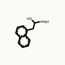 CCCCCCCC(O)Cc1cccc2ccccc12